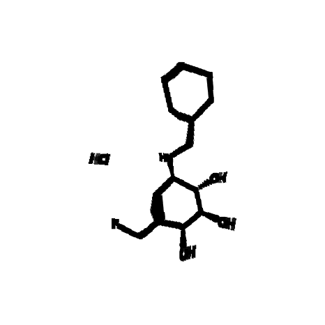 Cl.O[C@@H]1[C@@H](O)[C@@H](O)C(CF)=C[C@H]1NCC1CCCCC1